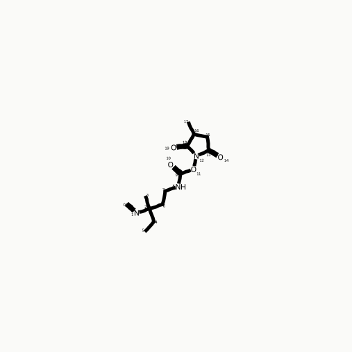 C=NC(C)(CC)CCNC(=O)ON1C(=O)CC(C)C1=O